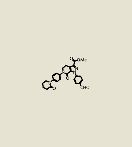 COC(=O)c1nn(-c2ccc(C=O)cc2)c2c1CCN(c1ccc(N3CCCCC3=O)cc1)C2=O